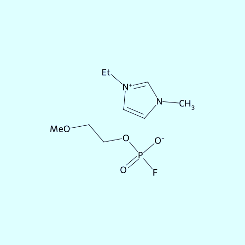 CC[n+]1ccn(C)c1.COCCOP(=O)([O-])F